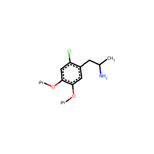 CC(N)Cc1cc(OC(C)C)c(OC(C)C)cc1Cl